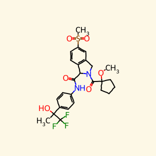 COC1(C(=O)N2Cc3cc(S(C)(=O)=O)ccc3C2C(=O)Nc2ccc(C(C)(O)C(F)(F)F)cc2)CCCC1